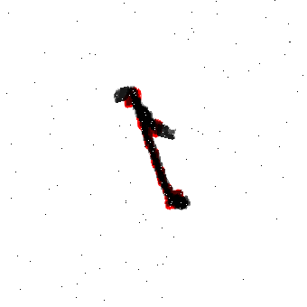 CC(C)(C)OC(=O)/C=C/c1ccc(/C=C/C(=O)OC(C)(C)C)c(OCCOCCOCCOCCOCCOCCOCCOCCON2C(=O)c3ccccc3C2=O)c1